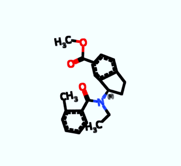 CCN(C(=O)c1ccccc1C)[C@@H]1CCc2ccc(C(=O)OC)cc21